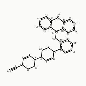 N#CC1C=CC(C2C=CC(c3ccccc3CN3c4ccccc4Sc4ccccc43)CC2)CC1